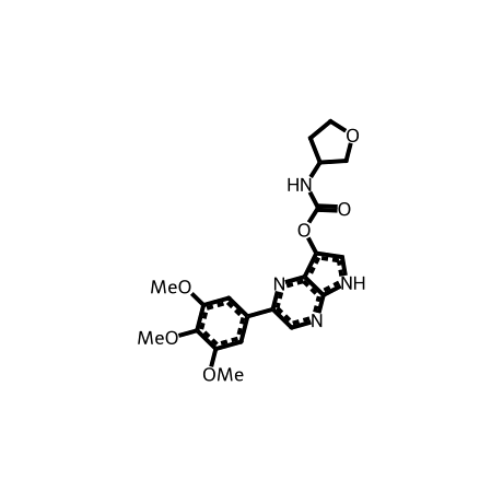 COc1cc(-c2cnc3[nH]cc(OC(=O)NC4CCOC4)c3n2)cc(OC)c1OC